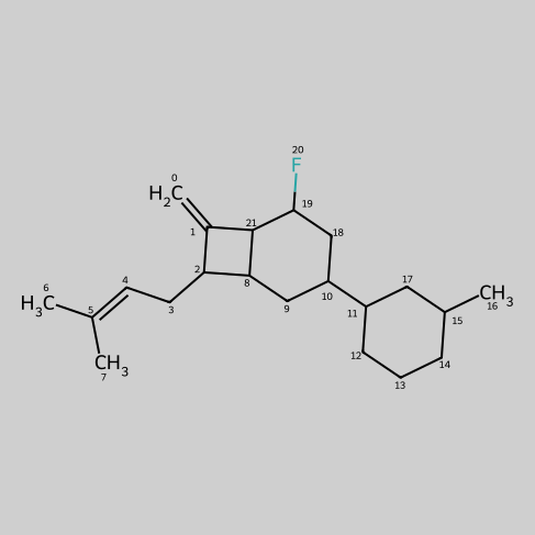 C=C1C(CC=C(C)C)C2CC(C3CCCC(C)C3)CC(F)C12